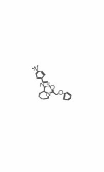 CN(C)c1ccc(-c2csc(C3CCCCN3C(=O)COc3ccccc3)n2)cc1